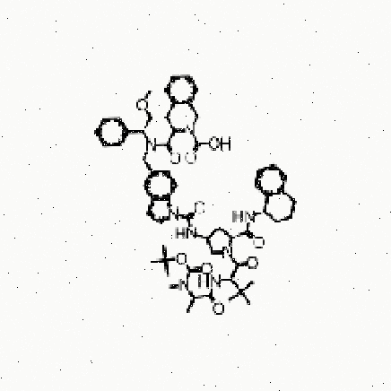 COC[C@H](c1ccccc1)N(Cc1ccc2c(ccn2C(=O)N[C@H]2C[C@@H](C(=O)N[C@@H]3CCCc4ccccc43)N(C(=O)C(NC(=O)C(C)N(C)C(=O)OC(C)(C)C)C(C)(C)C)C2)c1)C(=O)C1Cc2ccccc2CN1C(=O)O